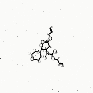 C=CCOC(=O)CC(C(=O)N1CCOCC1)N(C)C(=O)OCC=C